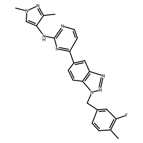 Cc1ccc(Cn2nnc3cc(-c4ccnc(Nc5cn(C)nc5C)n4)ccc32)cc1F